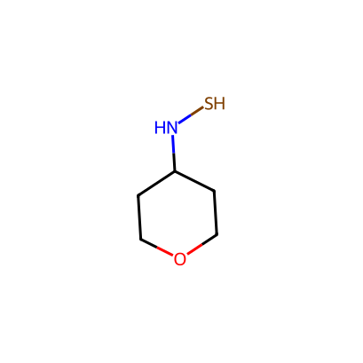 SNC1CCOCC1